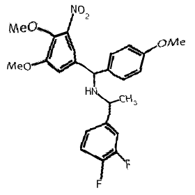 COc1ccc(C(NC(C)c2ccc(F)c(F)c2)c2cc(OC)c(OC)c([N+](=O)[O-])c2)cc1